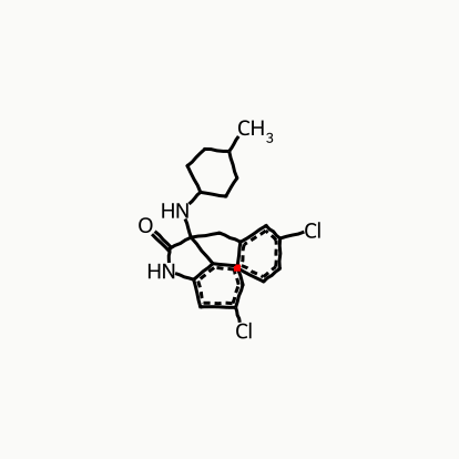 CC1CCC(NC2(Cc3cccc(Cl)c3)C(=O)Nc3cc(Cl)ccc32)CC1